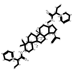 C=C(C)[C@@H]1CC[C@]2(COC(=O)C(CC)[N+]3=CC=CCC3)CC[C@]3(C)C(CCC4[C@@]5(C)CC[C@H](OC(=O)C(CC)[N+]6=CC=CCC6)C(C)(C)C5CC[C@]43C)C12